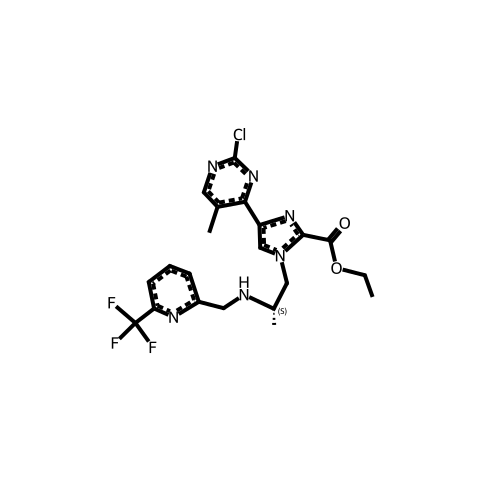 CCOC(=O)c1nc(-c2nc(Cl)ncc2C)cn1C[C@H](C)NCc1cccc(C(F)(F)F)n1